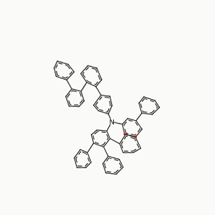 c1ccc(-c2cccc(N(c3ccc(-c4ccccc4-c4ccccc4-c4ccccc4)cc3)c3ccc(-c4ccccc4)c(-c4ccccc4)c3-c3ccccc3)c2)cc1